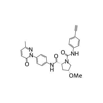 C#Cc1ccc(NC(=O)N2C[C@H](OC)C[C@@H]2C(=O)Nc2ccc(-n3nc(C)ccc3=O)cc2)cc1